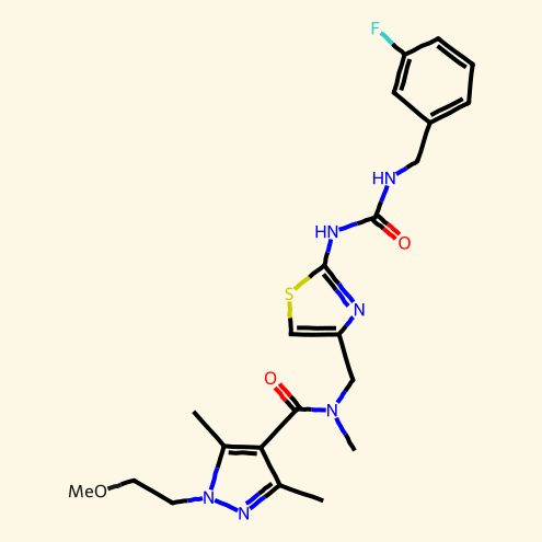 COCCn1nc(C)c(C(=O)N(C)Cc2csc(NC(=O)NCc3cccc(F)c3)n2)c1C